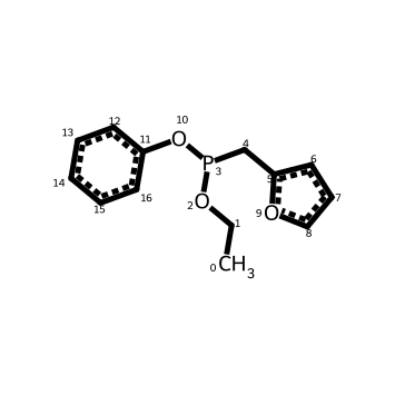 CCOP(Cc1ccco1)Oc1ccccc1